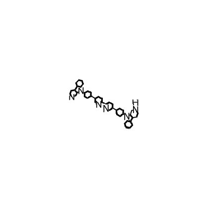 C1=Cc2c(n(-c3ccc(-c4ccc(-c5ccc(-c6ccc(-n7c8ccccc8c8ccncc87)cc6)cn5)nc4)cc3)c3ccccc23)CN1